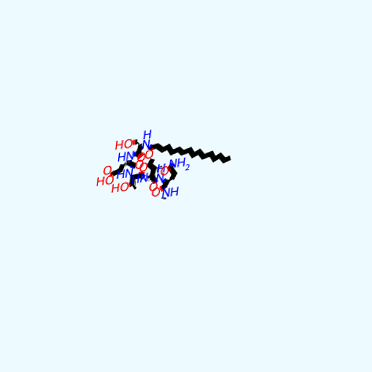 CCCCCCCCCCCCCCCC(=O)N[C@@H](CO)C(=O)N[C@@H](CCC(=O)O)C(=O)N[C@H](C(=O)N[C@H](C(=O)N[C@@H](CCC(N)=O)C(=O)NC)[C@@H](C)CC)[C@@H](C)O